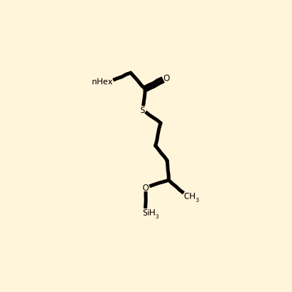 CCCCCCCC(=O)SCCCC(C)O[SiH3]